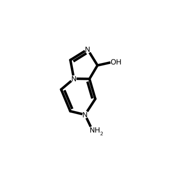 NN1C=CN2C=NC(O)C2=C1